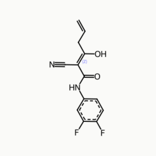 C=CC/C(O)=C(\C#N)C(=O)Nc1ccc(F)c(F)c1